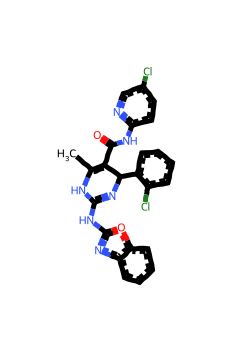 CC1=C(C(=O)Nc2ccc(Cl)cn2)C(c2ccccc2Cl)N=C(Nc2nc3ccccc3o2)N1